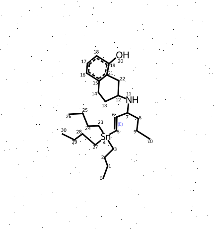 CCC[CH2][Sn](/[CH]=C/C(CCC)NC1CCc2cccc(O)c2C1)([CH2]CCC)[CH2]CCC